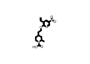 C=Cc1cc([N+](=O)[O-])cnc1OCCC1CCN(C(=O)O)C(C)C1